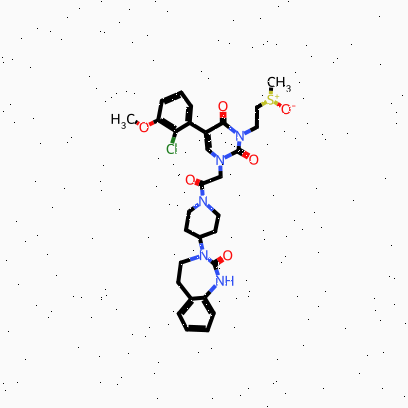 COc1cccc(-c2cn(CC(=O)N3CCC(N4CCc5ccccc5NC4=O)CC3)c(=O)n(CC[S+](C)[O-])c2=O)c1Cl